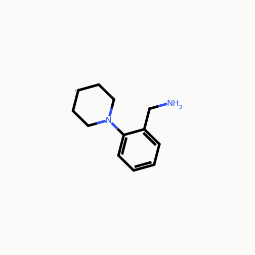 NCc1ccccc1N1CC[CH]CC1